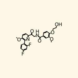 COc1cc(C(=O)NCC(=O)c2ccc(OC)c(-c3ccc(F)cc3F)n2)ccc1OCCO